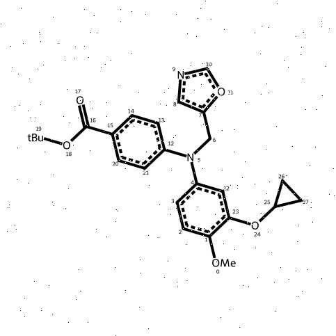 COc1ccc(N(Cc2cnco2)c2ccc(C(=O)OC(C)(C)C)cc2)cc1OC1CC1